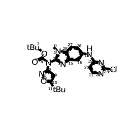 Cn1c(N(C(=O)OC(C)(C)C)c2cc(C(C)(C)C)on2)nc2cc(Nc3ccnc(Cl)n3)ccc21